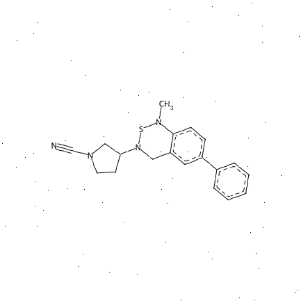 CN1SN(C2CCN(C#N)C2)Cc2cc(-c3ccccc3)ccc21